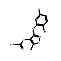 Cc1onc(Oc2cc(Br)ccc2Br)c1OC(N)=O